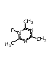 Cc1nc(C)[n+](F)c(C)n1